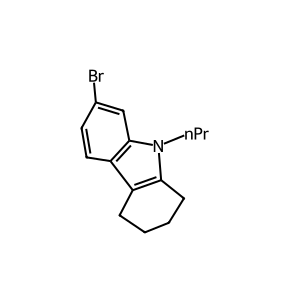 C[CH]Cn1c2c(c3ccc(Br)cc31)CCCC2